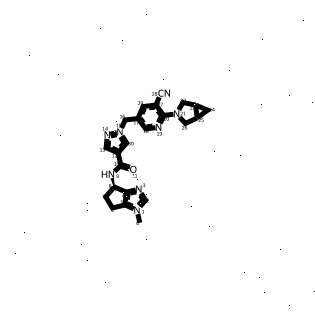 Cn1cnc2c1CC[C@H]2NC(=O)c1cnn(Cc2cnc(N3CC4CC4C3)c(C#N)c2)c1